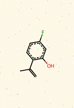 C=C(C)c1ccc(F)cc1O